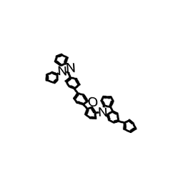 c1ccc(-c2ccc3c(c2)c2ccccc2n3-c2cccc3c2oc2cc(-c4ccc(-c5nc6ccccc6n5-c5ccccc5)cc4)ccc23)cc1